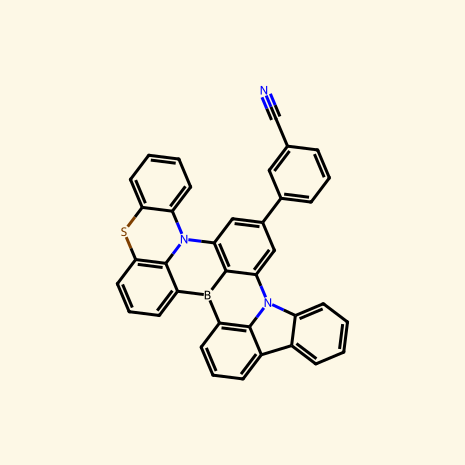 N#Cc1cccc(-c2cc3c4c(c2)-n2c5ccccc5c5cccc(c52)B4c2cccc4c2N3c2ccccc2S4)c1